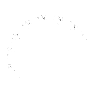 C#CCOC[C@H](Cn1cc(COC[C@@H](Cn2cc(COC[C@@H](Cn3cc(COC[C@@H](Cn4cc(COC[C@@H](Cn5cc(COC[C@@H](Cn6cc(COC[C@@H](Cn7cc(COC[C@H](CBr)OCC=C)nn7)OCC=C)nn6)OCC=C)nn5)OCC=C)nn4)OCC=C)nn3)OCC=C)nn2)OCC=C)nn1)OCC=C